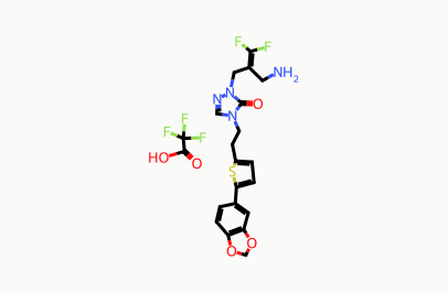 NCC(Cn1ncn(CCc2ccc(-c3ccc4c(c3)OCO4)s2)c1=O)=C(F)F.O=C(O)C(F)(F)F